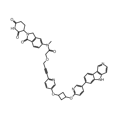 CN(C(=O)COCC#Cc1ccc(OC2CC(Oc3ccc(-c4ccc5c(c4)[nH]c4ccncc45)cn3)C2)cn1)c1ccc2c(c1)CN(C1CCC(=O)NC1=O)C2=O